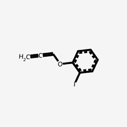 C=C=COc1ccccc1I